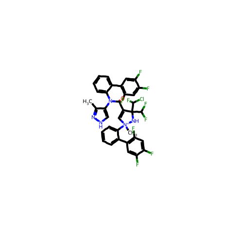 Cc1n[nH]cc1N(C(=O)C1=C[N+](C)(c2ccccc2-c2cc(F)c(F)cc2F)NC1(C(F)F)C(F)Cl)c1ccccc1-c1cc(F)c(F)cc1F